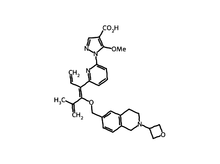 C=C/C(=C(/OCc1ccc2c(c1)CCN(C1COC1)C2)C(=C)C)c1cccc(-n2ncc(C(=O)O)c2OC)n1